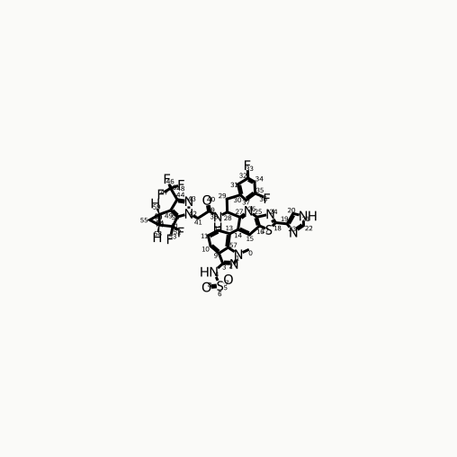 Cn1nc(NS(C)(=O)=O)c2cccc(-c3cc4sc(-c5c[nH]cn5)nc4nc3C(Cc3cc(F)cc(F)c3)NC(=O)Cn3nc(C(F)(F)F)c4c3C(F)(F)[C@@H]3C[C@H]43)c21